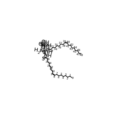 CCCCCCCC/C=C\CCCCCCCC(=S)NC[C@](N)(COP(=O)(O)O)NC(O)CCCCCCC/C=C\CCCCCCCC